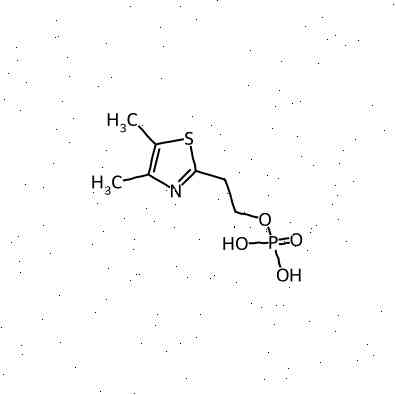 Cc1nc(CCOP(=O)(O)O)sc1C